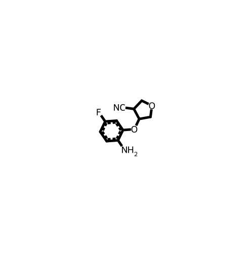 N#CC1COCC1Oc1cc(F)ccc1N